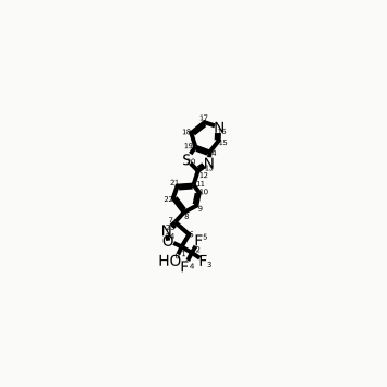 OC1(C(F)(F)F)CC(c2ccc(-c3nc4cnccc4s3)cc2)=NO1